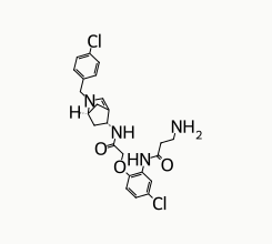 NCCC(=O)Nc1cc(Cl)ccc1OCC(=O)N[C@@H]1C[C@@H]2CC1=CN2Cc1ccc(Cl)cc1